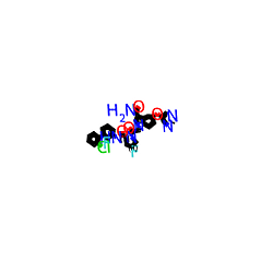 NC(=O)c1cn(CC(=O)N2C[C@H](F)C[C@H]2C(=O)Nc2cccc(-c3ccccc3Cl)c2F)c2ccc(Oc3cncnc3)cc12